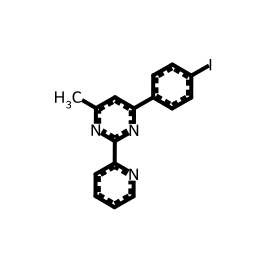 Cc1cc(-c2ccc(I)cc2)nc(-c2ccccn2)n1